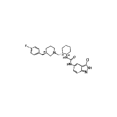 O=C(Nc1ccc2n[nH]c(Cl)c2c1)N[C@@H]1CCCC[C@H]1CN1CCC[C@H](Cc2ccc(F)cc2)C1